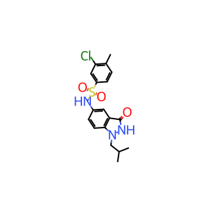 Cc1ccc(S(=O)(=O)Nc2ccc3c(c2)c(=O)[nH]n3CC(C)C)cc1Cl